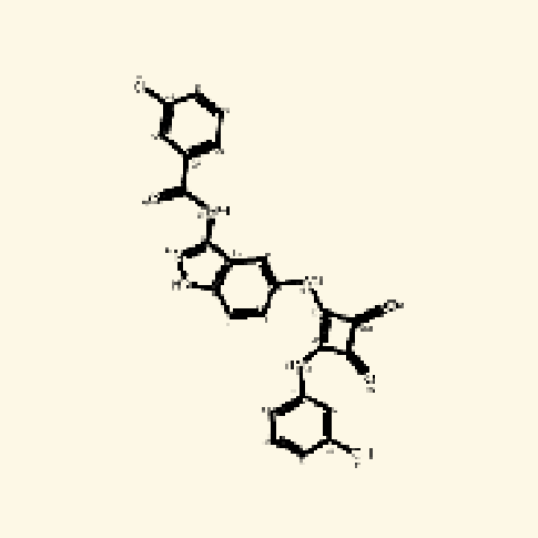 O=C(Nc1n[nH]c2ccc(Nc3c(Nc4cccc(O)c4)c(=O)c3=O)cc12)c1cccc(Cl)c1